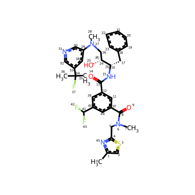 Cc1csc(CN(C)C(=O)c2cc(C(=O)N[C@@H](Cc3ccccc3)[C@H](O)CN(C)c3cncc(C(C)(C)F)c3)cc(C(F)F)c2)n1